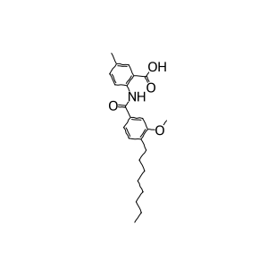 CCCCCCCCc1ccc(C(=O)Nc2ccc(C)cc2C(=O)O)cc1OC